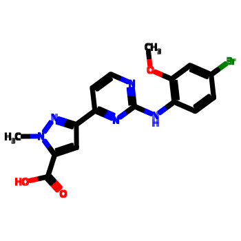 COc1cc(Br)ccc1Nc1nccc(-c2cc(C(=O)O)n(C)n2)n1